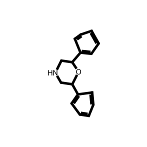 c1ccc(C2CNCC(c3ccccc3)O2)cc1